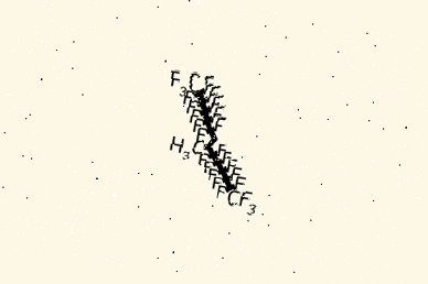 CC(CC(F)(F)C(F)(F)C(F)(F)C(F)(F)C(F)(F)C(F)(F)F)C(F)(F)C(F)(F)C(F)(F)C(F)(F)C(F)(F)C(F)(F)F